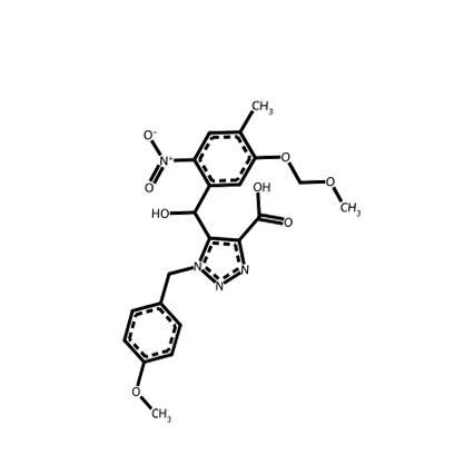 COCOc1cc(C(O)c2c(C(=O)O)nnn2Cc2ccc(OC)cc2)c([N+](=O)[O-])cc1C